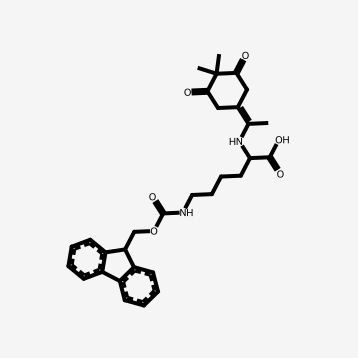 CC(NC(CCCCNC(=O)OCC1c2ccccc2-c2ccccc21)C(=O)O)=C1CC(=O)C(C)(C)C(=O)C1